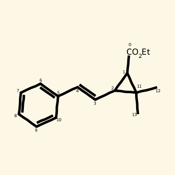 CCOC(=O)C1C(C=Cc2ccccc2)C1(C)C